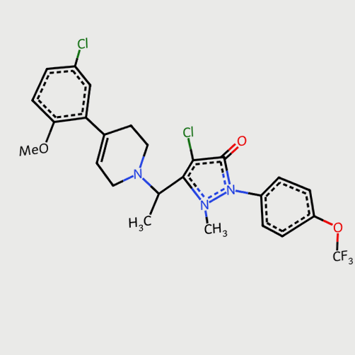 COc1ccc(Cl)cc1C1=CCN(C(C)c2c(Cl)c(=O)n(-c3ccc(OC(F)(F)F)cc3)n2C)CC1